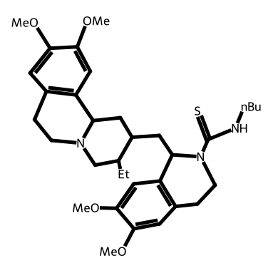 CCCCNC(=S)N1CCc2cc(OC)c(OC)cc2C1CC1CC2c3cc(OC)c(OC)cc3CCN2CC1CC